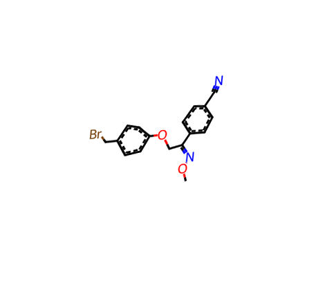 CO/N=C(\COc1ccc(CBr)cc1)c1ccc(C#N)cc1